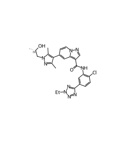 CCn1nnc(-c2ccc(Cl)c(NC(=O)c3cnn4ccc(-c5c(C)nn(C[C@H](C)O)c5C)cc34)c2)n1